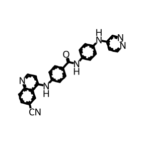 N#Cc1ccc2nccc(Nc3ccc(C(=O)Nc4ccc(Nc5ccnnc5)cc4)cc3)c2c1